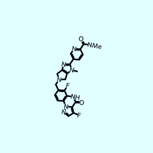 CNC(=O)c1ccc(-c2nc3c(n2C)CN(Cc2ccc4c([nH]c(=O)c5c(F)cnn54)c2F)C3)cn1